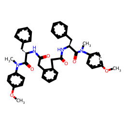 COc1ccc(N(C)C(=O)[C@H](Cc2ccccc2)NC(=O)Cc2ccccc2CC(=O)N[C@@H](Cc2ccccc2)C(=O)N(C)c2ccc(OC)cc2)cc1